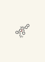 C/C(=N/N(c1ccc2ccccc2c1)c1ccc2ccccc2c1)c1ccc2c(c1)c1ccccc1n2CCC(C)C